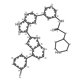 O=C(CC1CCNCC1)Nc1cncc(-c2cnc3[nH]nc(-c4cc5c(-c6cccc(F)c6)ccnc5[nH]4)c3c2)c1